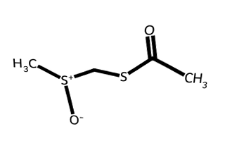 CC(=O)SC[S+](C)[O-]